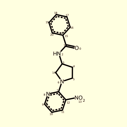 O=C(NC1CCN(c2ncccc2[N+](=O)[O-])C1)c1ccccc1